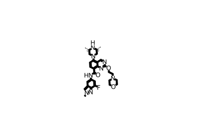 C[C@@H]1CN(c2ccc(C(=O)Nc3cc(F)c4nn(C)cc4c3)c3nc(OCCN4CCOCC4)ncc23)C[C@H](C)N1